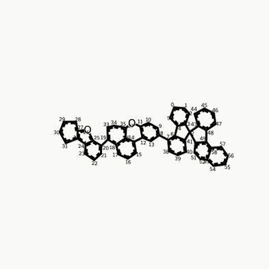 c1ccc2c(c1)-c1c(-c3ccc4c(c3)-c3cccc5c(-c6cccc7c6oc6ccccc67)ccc(c35)O4)cccc1C21c2ccccc2-c2c1ccc1ccccc21